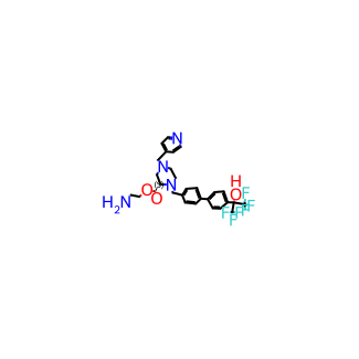 NCCOC(=O)[C@@H]1CN(Cc2ccncc2)CCN1Cc1ccc(-c2ccc(C(O)(C(F)(F)F)C(F)(F)F)cc2)cc1